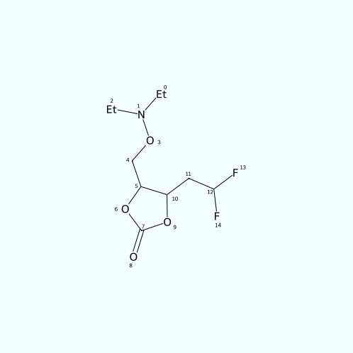 CCN(CC)OCC1OC(=O)OC1CC(F)F